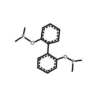 CP(C)Oc1ccccc1-c1ccccc1OP(C)C